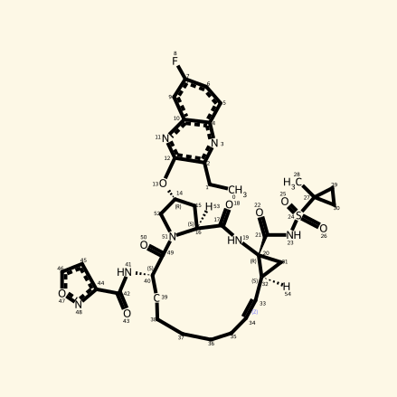 CCc1nc2ccc(F)cc2nc1O[C@@H]1C[C@H]2C(=O)N[C@]3(C(=O)NS(=O)(=O)C4(C)CC4)C[C@H]3/C=C\CCCCC[C@H](NC(=O)c3ccon3)C(=O)N2C1